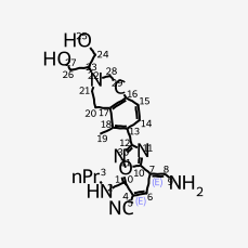 C=C(NCCC)/C(C#N)=C\C(=C/N)c1nc(-c2ccc3c(c2C)CCN(C(CO)CO)CC3)no1